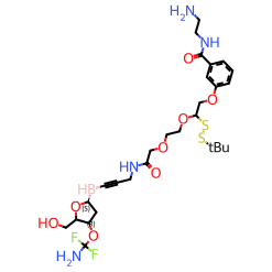 CC(C)(C)SSC(COc1cccc(C(=O)NCCN)c1)OCCOCC(=O)NCC#CB[C@H]1C[C@@H](OC(N)(F)F)C(CO)O1